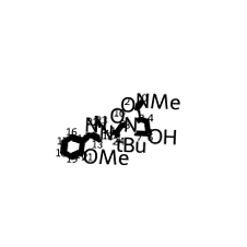 CNC(=O)[C@H]1CC(O)CN1C(=O)C(n1cc(-c2ccccc2OC)nn1)C(C)(C)C